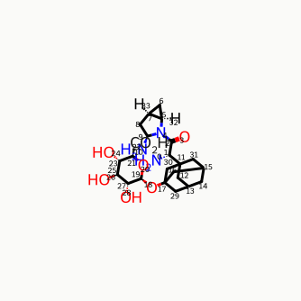 N[C@H](C(=O)N1[C@@H]2C[C@@H]2C[C@@H]1N)C12CC3CC(CC(O[C@@H]4O[C@H](C(=O)O)[C@@H](O)[C@H](O)[C@H]4O)(C3)C1)C2